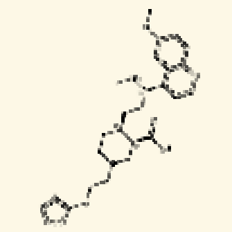 CN[C@@H](CC[C@@H]1CCN(CCSc2cccs2)C[C@@H]1C(=O)O)c1ccnc2ccc(OC)cc12